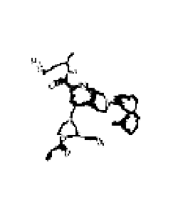 C=CC(=O)N1CCN(c2cc(C(=O)NC(C)CN)nc3c2CCN(c2cccc4cccc(C)c24)C3)C[C@@H]1CC#N